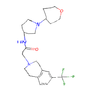 O=C(CN1CCc2ccc(C(F)(F)F)cc2C1)NC1CCN(C2CCOCC2)C1